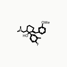 COc1cccc(C=C2CCCC(CN(C)C)C2(O)c2ccc(F)c(C)c2)c1